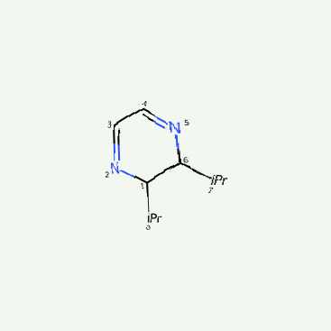 CC(C)C1N=CC=NC1C(C)C